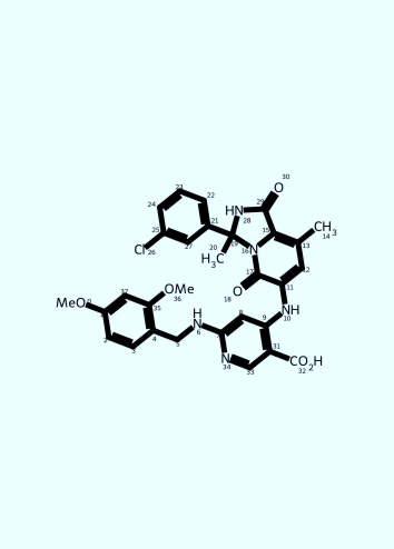 COc1ccc(CNc2cc(Nc3cc(C)c4n(c3=O)C(C)(c3cccc(Cl)c3)NC4=O)c(C(=O)O)cn2)c(OC)c1